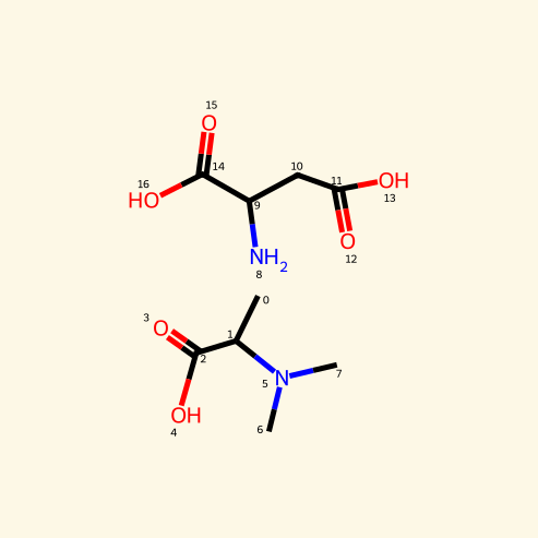 CC(C(=O)O)N(C)C.NC(CC(=O)O)C(=O)O